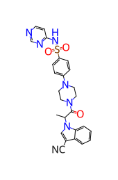 CC(C(=O)N1CCN(c2ccc(S(=O)(=O)Nc3ccncn3)cc2)CC1)n1cc(C#N)c2ccccc21